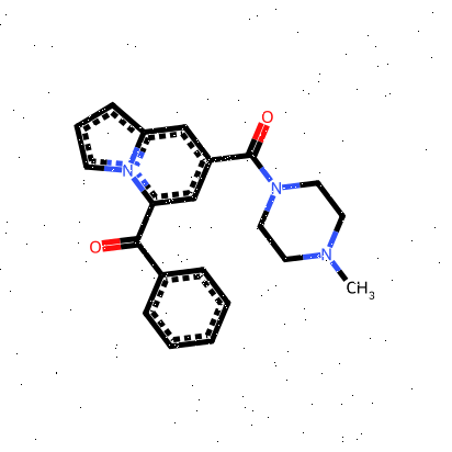 CN1CCN(C(=O)c2cc(C(=O)c3ccccc3)n3cccc3c2)CC1